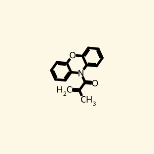 C=C(C)C(=O)N1c2ccccc2Oc2ccccc21